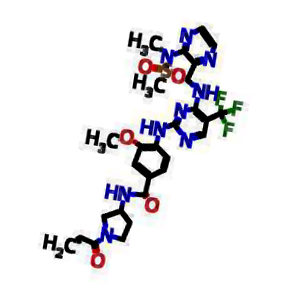 C=CC(=O)N1CCC(NC(=O)c2ccc(Nc3ncc(C(F)(F)F)c(NCc4nccnc4N(C)S(C)(=O)=O)n3)c(OC)c2)C1